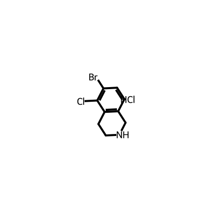 Cl.Clc1c(Br)ccc2c1CCNC2